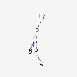 C=CC(=O)OCCCCCCOc1ccc(COc2ccc(C3CCC(OCc4ccc(OCCCCCCOC(O)C=C)cc4)CC3)cc2/C=N/Nc2nc3ccccc3s2)cc1